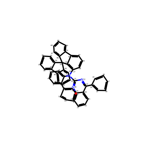 c1ccc(-c2ccccc2N(c2nc(-c3ccccc3)c3ccccc3n2)c2cccc3c2C2(c4ccccc4-c4ccccc42)c2ccccc2-3)cc1